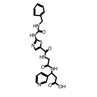 O=C(O)CC(NC(=O)CNC(=O)c1cnc(NC(=O)NCc2ccccc2)s1)c1cccnc1